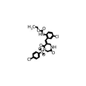 CCOC(=O)Nc1ccc(Cl)cc1C=C1CNC(=O)CN(S(=O)(=O)c2ccc(Cl)cc2)C1=O